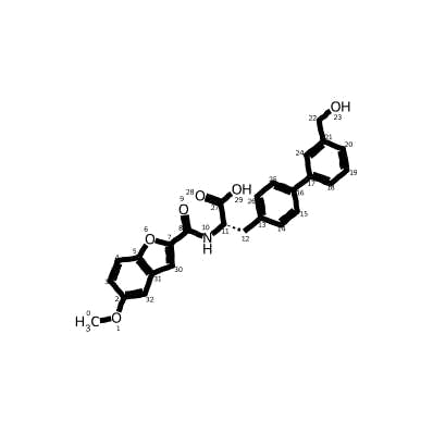 COc1ccc2oc(C(=O)N[C@@H](Cc3ccc(-c4cccc(CO)c4)cc3)C(=O)O)cc2c1